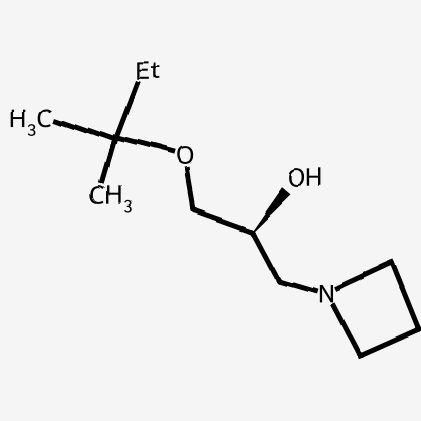 CCC(C)(C)OC[C@@H](O)CN1CCC1